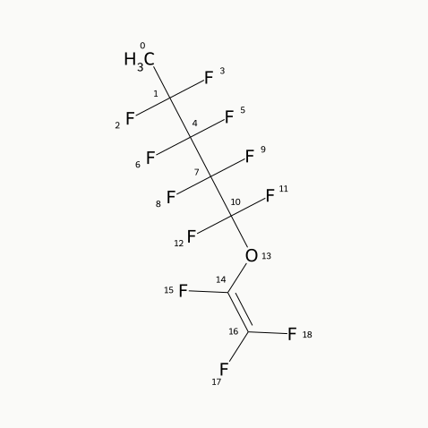 CC(F)(F)C(F)(F)C(F)(F)C(F)(F)OC(F)=C(F)F